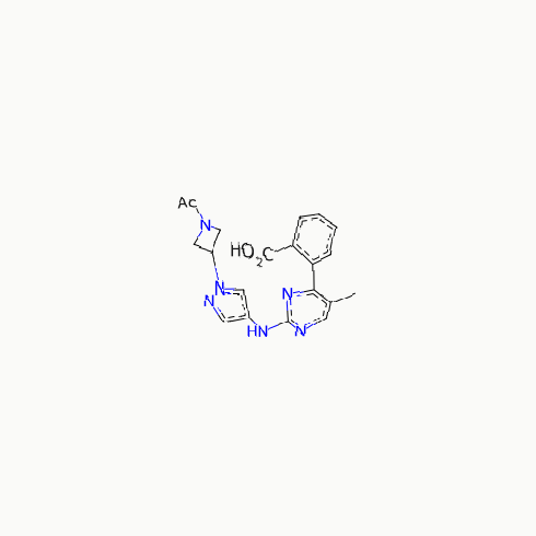 CC(=O)N1CC(n2cc(Nc3ncc(C)c(-c4ccccc4C(=O)O)n3)cn2)C1